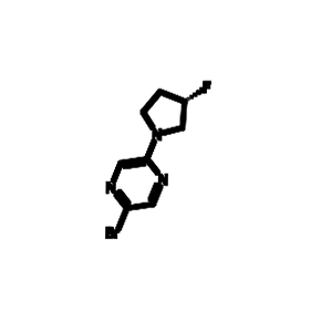 F[C@H]1CCN(c2cnc(Br)cn2)C1